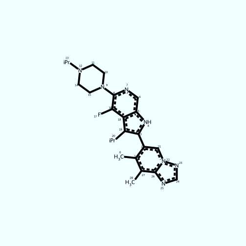 Cc1c(-c2[nH]c3cnc(N4CCN(C(C)C)CC4)c(F)c3c2C(C)C)cn2ncnc2c1C